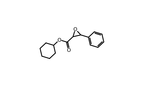 O=C(OC1CCCCC1)C1OC1c1ccccc1